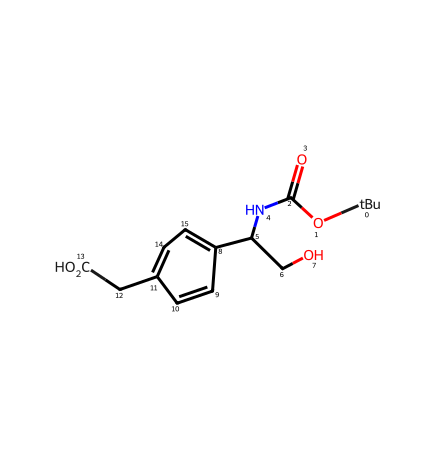 CC(C)(C)OC(=O)NC(CO)c1ccc(CC(=O)O)cc1